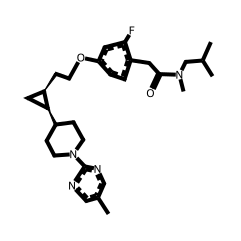 Cc1cnc(N2CCC([C@H]3C[C@H]3CCOc3ccc(CC(=O)N(C)CC(C)C)c(F)c3)CC2)nc1